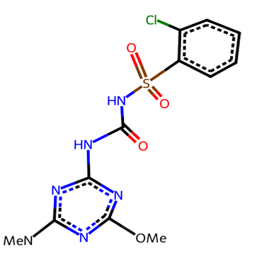 CNc1nc(NC(=O)NS(=O)(=O)c2ccccc2Cl)nc(OC)n1